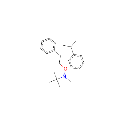 CC(C)c1ccccc1.CN(OCCc1ccccc1)C(C)(C)C